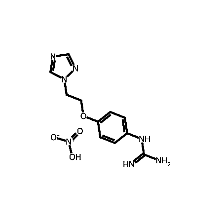 N=C(N)Nc1ccc(OCCn2cncn2)cc1.O=[N+]([O-])O